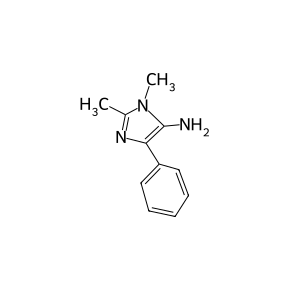 Cc1nc(-c2ccccc2)c(N)n1C